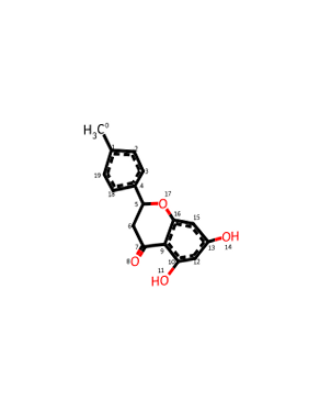 Cc1ccc(C2CC(=O)c3c(O)cc(O)cc3O2)cc1